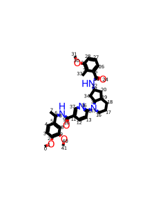 COc1ccc(C(C)NC(=O)c2ccc(N3CCCC4CC(NC(=O)c5cccc(OC)c5C)CC43)nc2)cc1OC